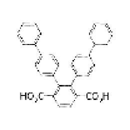 O=C(O)c1ccc(C(=O)O)c(-c2ccc(-c3ccccc3)cc2)c1-c1ccc(-c2ccccc2)cc1